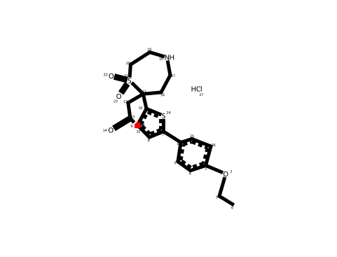 CCOc1ccc(-c2ccc(C3(CC(=O)O)CCNCCS3(=O)=O)s2)cc1.Cl